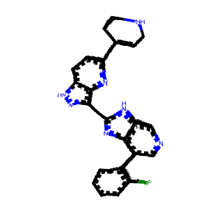 Fc1ccccc1-c1cncc2[nH]c(-c3n[nH]c4ccc(C5=CCNCC5)nc34)nc12